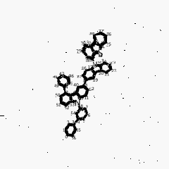 c1ccc(-c2cccc(-n3c4ccc(-c5ccc6c(c5)c5ccccc5n6-c5cccc6c5sc5ccccc56)cc4c4c(-c5ccccc5)cccc43)c2)cc1